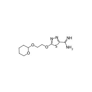 N=C(N)c1nnc(OCCOC2CCCCO2)s1